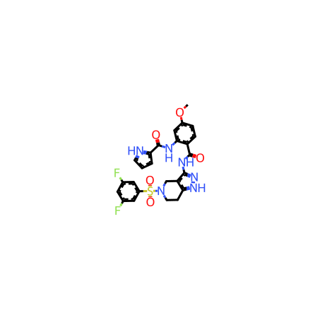 COc1ccc(C(=O)Nc2n[nH]c3c2CN(S(=O)(=O)c2cc(F)cc(F)c2)CC3)c(NC(=O)c2ccc[nH]2)c1